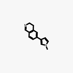 Cn1ccc(-c2ccc3c(c2)CCN=C3)c1